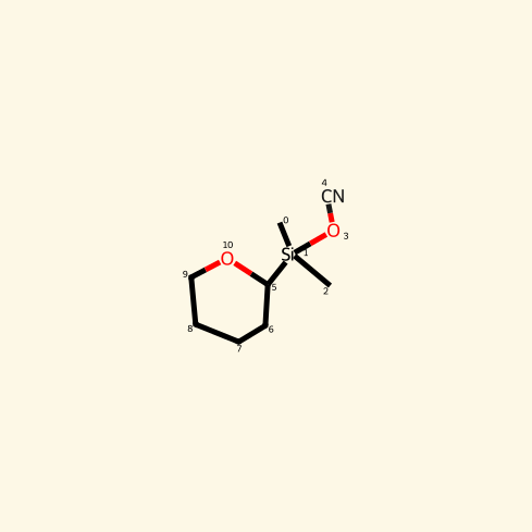 C[Si](C)(OC#N)C1CCCCO1